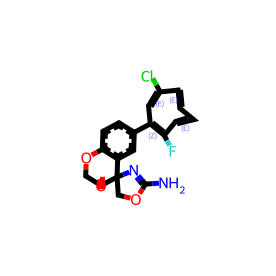 NC1=NC2(CO1)c1cc(C3=C(F)/C=C/C=C/C(Cl)=C\3)ccc1OCC21COC1